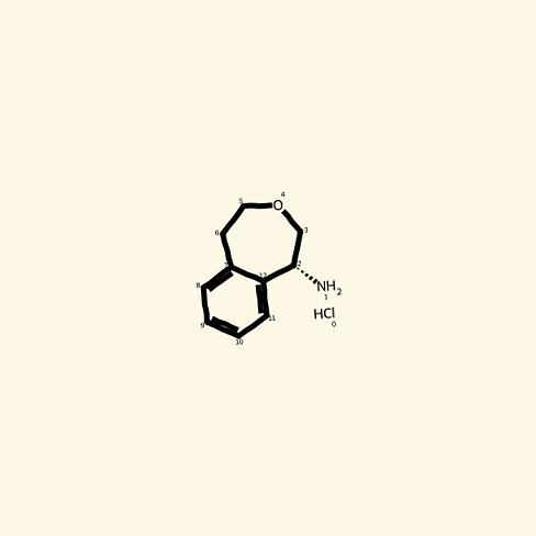 Cl.N[C@H]1COCCc2ccccc21